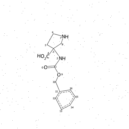 O=C(NC1(C(=O)O)CCNC1)OCc1ccccc1